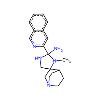 CN1C(N)(c2cc3ccccc3cn2)NCC12CN1CCC2CC1